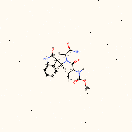 [2H]C1([2H])N(C(=O)[C@H](CC(C)C)N(C)C(=O)OC(C)(C)C)[C@H](C(N)=O)C[C@]12C(=O)Nc1ccccc12